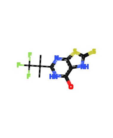 CC(C)(c1nc2sc(=S)[nH]c2c(=O)[nH]1)C(F)(F)F